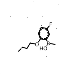 CCCCOc1ccc(F)cc1B(C)O